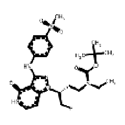 CCN(CC[C@H](CF)n1nc(Nc2ccc(S(C)(=O)=O)cc2)c2c(=O)[nH]ccc21)C(=O)OC(C)(C)C